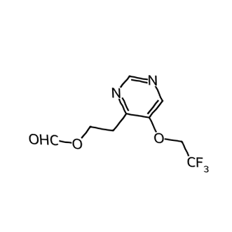 O=COCCc1ncncc1OCC(F)(F)F